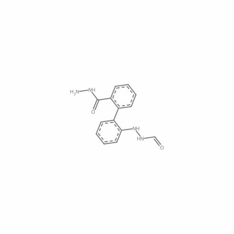 NNC(=O)c1ccccc1-c1ccccc1NNC=O